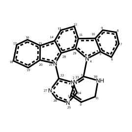 C1=CN=C(n2c3ccccc3c3ccc4c5ccccc5n(-c5ncncn5)c4c32)NC1